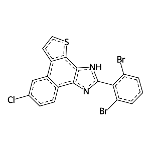 Clc1ccc2c(c1)c1ccsc1c1[nH]c(-c3c(Br)cccc3Br)nc21